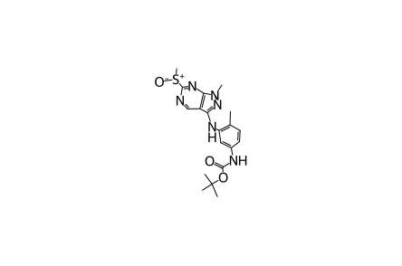 Cc1ccc(NC(=O)OC(C)(C)C)cc1Nc1nn(C)c2nc([S+](C)[O-])ncc12